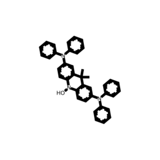 CC1(C)c2cc(N(c3ccccc3)c3ccccc3)ccc2N(O)c2ccc(N(c3ccccc3)c3ccccc3)cc21